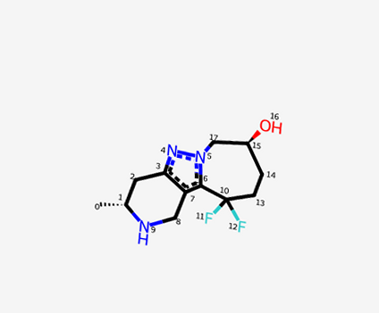 C[C@@H]1Cc2nn3c(c2CN1)C(F)(F)CC[C@H](O)C3